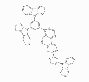 c1cc(-c2ccc3c(ccc4c(-c5cc(-n6c7ccccc7c7ccccc76)cc(-n6c7ccccc7c7ccccc76)c5)ncnc43)c2)cc(-n2c3ccccc3c3ccccc32)c1